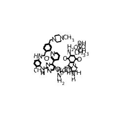 CO[C@@]12[C@H](COC(N)=O)C3=C(C(=O)C(C)=C(N)C3=O)N1C[C@@H]1N[C@@H]12.CS(=O)(=O)O.Cc1ccc(NC(=O)c2ccc(CN3CCN(C)CC3)cc2)cc1Nc1nccc(-c2cccnc2)n1